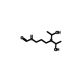 CC(O)N(CCCNC=O)C(C)O